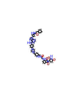 O=C(CNc1cccc2c1C(=O)N(C1CCC(=O)NC1=O)C2=O)NCC1CCC(CN2CCN(c3ccc(Nc4ncnc5c4ncn5C4CC(NC(=O)Cc5ccccc5)C4)cc3)CC2)CC1